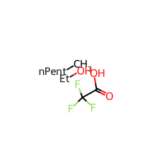 CCCCCC.CCO.O=C(O)C(F)(F)F